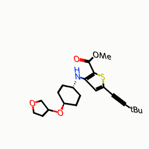 COC(=O)c1sc(C#CC(C)(C)C)cc1N[C@H]1CC[C@H](OC2CCOC2)CC1